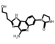 Nc1nc2cc(N3CCNC3=O)ccc2c2[nH]c(CCCO)nc12